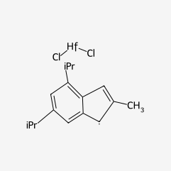 CC1=Cc2c(cc(C(C)C)cc2C(C)C)[CH]1.[Cl][Hf][Cl]